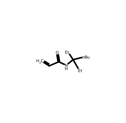 C=CC(=O)NC(CC)(CC)CCCC